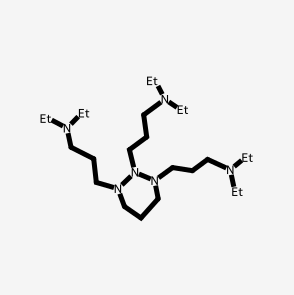 CCN(CC)CCCN1CCCN(CCCN(CC)CC)N1CCCN(CC)CC